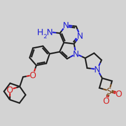 Nc1ncnc2c1c(-c1cccc(OCC34CCC(CC3)O4)c1)cn2C1CCN(C2CS(=O)(=O)C2)C1